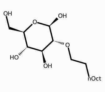 CCCCCCCCCCO[C@@H]1[C@@H](O)[C@H](O)[C@@H](CO)O[C@H]1O